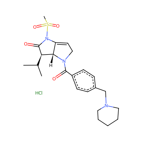 CC(C)[C@H]1C(=O)N(S(C)(=O)=O)C2=CCN(C(=O)c3ccc(CN4CCCCC4)cc3)[C@@H]21.Cl